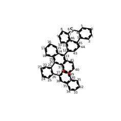 c1ccc2c(c1)Sc1cccc3c(-c4c5ccccc5c(-c5ccccc5-c5ccc6ccccc6c5)c5ccccc45)ccc-2c13